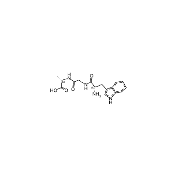 C[C@H](NC(=O)CNC(=O)[C@@H](N)Cc1c[nH]c2ccccc12)C(=O)O